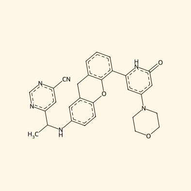 CC(Nc1ccc2c(c1)Cc1cccc(-c3cc(N4CCOCC4)cc(=O)[nH]3)c1O2)c1cc(C#N)ncn1